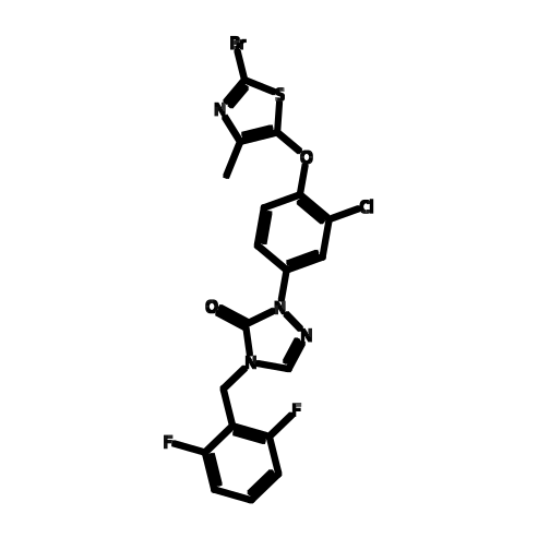 Cc1nc(Br)sc1Oc1ccc(-n2ncn(Cc3c(F)cccc3F)c2=O)cc1Cl